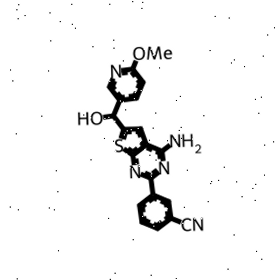 COc1ccc(C(O)c2cc3c(N)nc(-c4cccc(C#N)c4)nc3s2)cn1